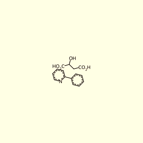 O=C(O)CC(O)C(=O)O.c1ccc(-c2ccccn2)cc1